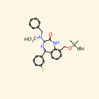 CC(C)(C)[Si](C)(C)OCc1cccc2c1NC(=O)C(N(Cc1ccccc1)C(=O)O)N=C2c1cccc(F)c1